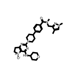 Cc1cn(C)nc1CN(C)C(=O)c1ccc(C2CCN(c3nc4c(c(NC5CCOCC5)n3)[S@@+]([O-])CC4)CC2)cc1